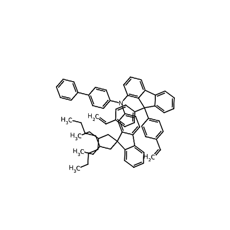 C=Cc1ccc(C2(c3ccc(C=C)cc3)c3ccccc3-c3cccc(N(c4ccc(-c5ccccc5)cc4)c4ccc5c(c4)C(CC(CC)CCCC)(CC(CC)CCCC)c4ccccc4-5)c32)cc1